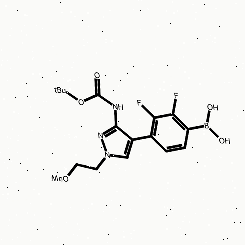 COCCn1cc(-c2ccc(B(O)O)c(F)c2F)c(NC(=O)OC(C)(C)C)n1